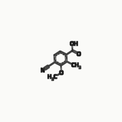 COc1c(C#N)ccc(C(=O)O)c1C